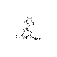 COc1nc(Cl)cc(-n2cccn2)n1